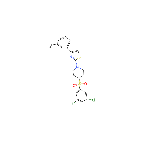 Cc1cccc(-c2csc(N3CCC(S(=O)(=O)c4cc(Cl)cc(Cl)c4)CC3)n2)c1